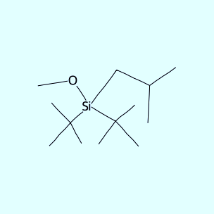 CO[Si](CC(C)C)(C(C)(C)C)C(C)(C)C